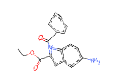 CCOC(=O)c1cc2cc(N)ccc2n1C(=O)c1ccccc1